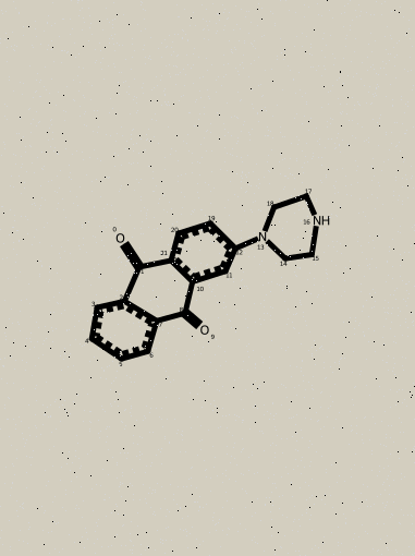 O=C1c2ccccc2C(=O)c2cc(N3CCNCC3)ccc21